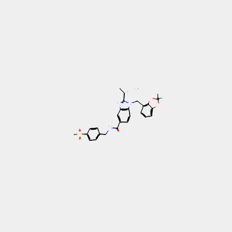 CCS(=O)(=O)c1ccc(CNC(=O)c2ccc3c(c2)nc([C@@H](C)OC)n3Cc2cccc3c2OC(F)(F)O3)cc1